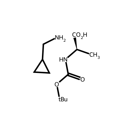 C[C@@H](NC(=O)OC(C)(C)C)C(=O)O.NCC1CC1